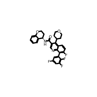 O=C(N[C@H]1CCOc2ccccc21)c1cnc2c(-c3cc(F)cc(F)c3F)c(F)ccc2c1C1CCOCC1